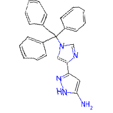 Nc1cc(-c2cn(C(c3ccccc3)(c3ccccc3)c3ccccc3)cn2)n[nH]1